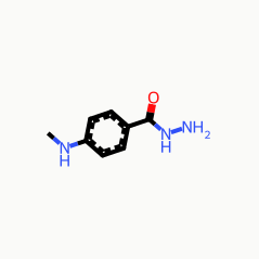 CNc1ccc(C(=O)NN)cc1